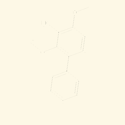 COc1ccc(-c2ccccc2)c(OC)c1P